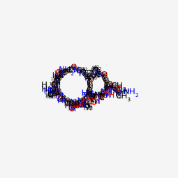 CC(C)[C@@H]1NC(=O)[C@H](Cc2c[nH]c3ccccc23)NC(=O)[C@@H]2CSCCC(=O)N3Cc4cccc(n4)CN(Cc4cccc(n4)CN(Cc4cccc(n4)C3)C(=O)CCSC[C@H](NC(=O)[C@H](C)NC(=O)CN(C)C(=O)CCN)C(=O)N[C@@H]([C@@H](C)O)C(=O)N[C@@H](CCC(=O)O)C(=O)N2)C(=O)CCSC[C@@H](C(N)=O)NC(=O)[C@@H]2CCCN2C(=O)[C@H](C(C)C)NC(=O)[C@H](Cc2c[nH]c3ccccc23)NC(=O)CNC(=O)[C@H](CC(=O)O)NC1=O